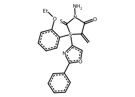 C=C1C(=O)N(N)C(=S)S1(c1coc(-c2ccccc2)n1)c1ccccc1OCC